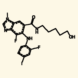 Cn1cnc2c(F)c(Nc3ccc(I)cc3F)c(C(=O)NCCCCCO)cc21